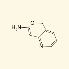 NC1=Cc2ncccc2CO1